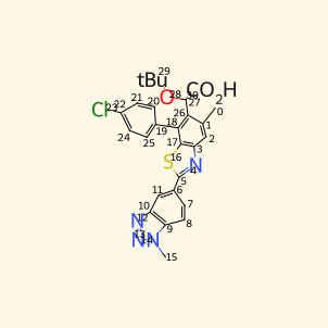 Cc1cc2nc(-c3ccc4c(c3)nnn4C)sc2c(-c2ccc(Cl)cc2)c1C(OC(C)(C)C)C(=O)O